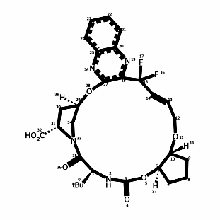 CC(C)(C)[C@@H]1NC(=O)O[C@@H]2CCC[C@H]2OC/C=C/C(F)(F)c2nc3ccccc3nc2O[C@@H]2C[C@@H](C(=O)O)N(C2)C1=O